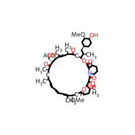 CO[C@H]1C[C@@H]2CC[C@@H](C)[C@@](O)(O2)C(=O)C(=O)N2CCCC[C@H]2C(=O)O[C@H]([C@H](C)C[C@@H]2CC[C@@H](O)[C@H](OC)C2)CC(=O)[C@H](C)/C=C(\C)[C@@H](OC(C)=O)[C@@H](CO)C(=O)[C@H](C)C[C@H](C)/C=C/C=C/C=C/1C